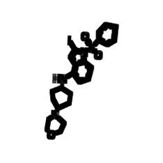 O=S(=O)(c1ccccc1)n1c(I)cc2c(N[C@H]3CC[C@H](N4CCOCC4)CC3)cccc21